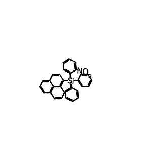 O=[N+]([O-])c1ccccc1[Si](c1ccccc1)(c1ccccc1)c1ccc2cccc3c2c1CC=C3